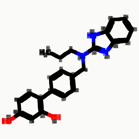 CCCN(Cc1ccc(-c2ccc(O)cc2O)cc1)c1nc2ccccc2[nH]1